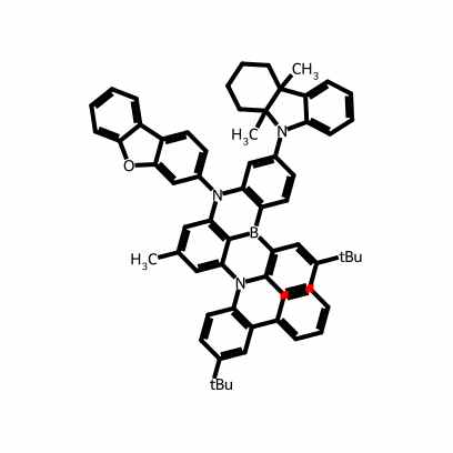 Cc1cc2c3c(c1)N(c1ccc(C(C)(C)C)cc1-c1ccccc1)c1ccc(C(C)(C)C)cc1B3c1ccc(N3c4ccccc4C4(C)CCCCC34C)cc1N2c1ccc2c(c1)oc1ccccc12